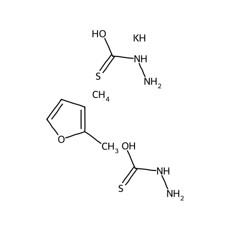 C.Cc1ccco1.NNC(O)=S.NNC(O)=S.[KH]